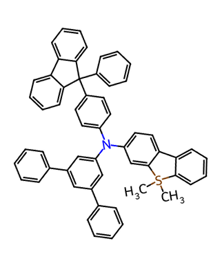 CS1(C)c2ccccc2-c2ccc(N(c3ccc(C4(c5ccccc5)c5ccccc5-c5ccccc54)cc3)c3cc(-c4ccccc4)cc(-c4ccccc4)c3)cc21